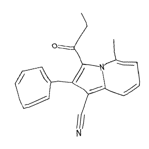 CCC(=O)c1c(-c2ccccc2)c(C#N)c2cccc(C)n12